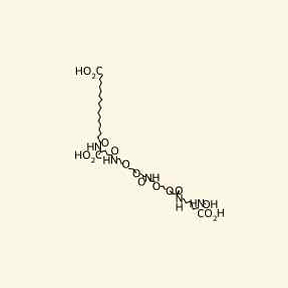 O=C(O)CCCCCCCCCCCCCCCCC(=O)N[C@@H](CCC(=O)NCCOCCOCC(=O)NCCOCCOCC(=O)NCCCC[C@H](NO)C(=O)O)C(=O)O